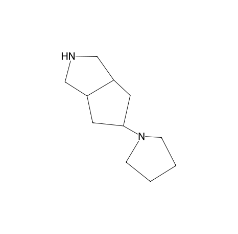 C1CCN(C2CC3CNCC3C2)C1